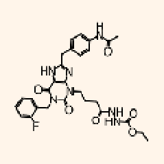 CCOC(=O)NNC(=O)CCCn1c(=O)n(Cc2ccccc2F)c(=O)c2[nH]c(Cc3ccc(NC(C)=O)cc3)nc21